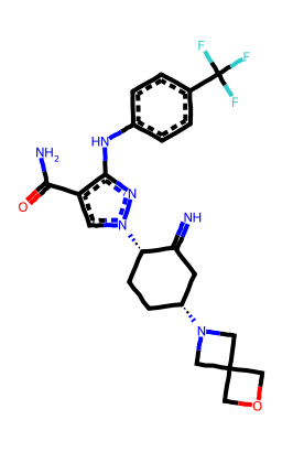 N=C1C[C@H](N2CC3(COC3)C2)CC[C@@H]1n1cc(C(N)=O)c(Nc2ccc(C(F)(F)F)cc2)n1